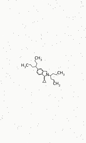 C=CCC(CCC)N1Cc2cc(C(CCC)CCC)ccc2C1=C1CC1